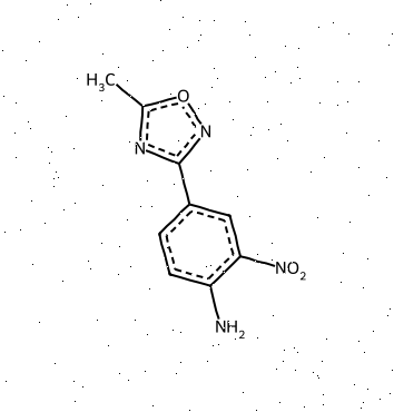 Cc1nc(-c2ccc(N)c([N+](=O)[O-])c2)no1